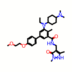 CCN(c1cc(-c2ccc(OCCOC)cc2)cc(C(=O)NCc2c(C)[nH]n(C)c2=O)c1C)C1CCC(N(C)C)CC1